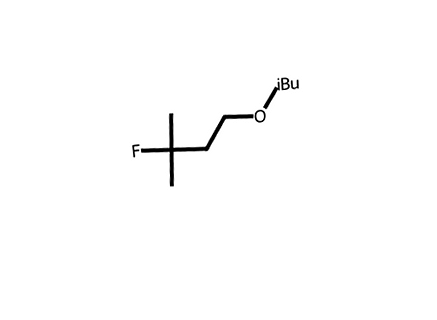 CCC(C)OCCC(C)(C)F